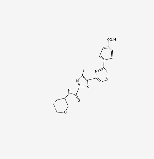 Cc1nc(C(=O)NC2CCCOC2)sc1-c1cccc(-c2ccc(C(=O)O)cc2)n1